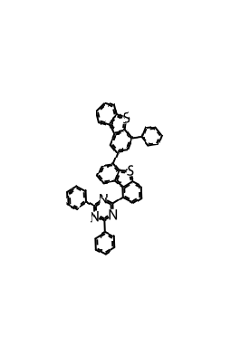 c1ccc(-c2nc(-c3ccccc3)nc(-c3cccc4sc5c(-c6cc(-c7ccccc7)c7sc8ccccc8c7c6)cccc5c34)n2)cc1